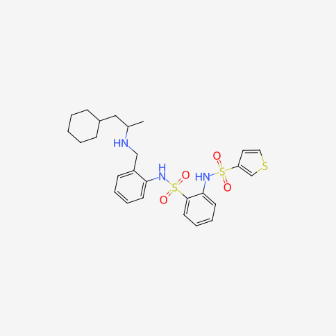 CC(CC1CCCCC1)NCc1ccccc1NS(=O)(=O)c1ccccc1NS(=O)(=O)c1ccsc1